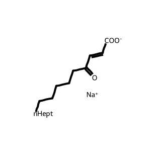 CCCCCCCCCCCCC(=O)C=CC(=O)[O-].[Na+]